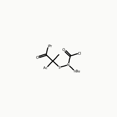 CCCCN(SC(C)(C(C)=O)C(=O)C(C)C)C(=O)Cl